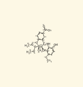 COc1ccc(O)c(N[C@H]2c3cc([N+](=O)[O-])ccc3O[C@@](C)(C(OC)OC)[C@@H]2O)c1